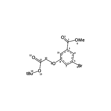 COC(=O)c1cc(Br)cc(OCC(=O)OC(C)(C)C)c1